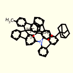 Cc1ccc2c(c1)C1(c3ccccc3-c3ccc(N(c4ccccc4-c4ccc(C56CC7CC(CC(C7)C5)C6)cc4)c4cccc5c4C(C)(C)c4ccccc4-5)cc31)c1cc(C)ccc1-2